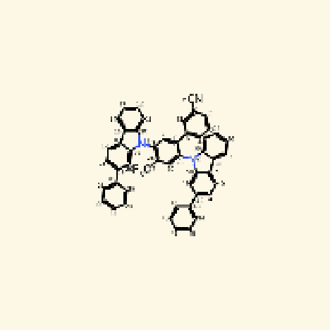 N#Cc1cccc(-c2cc(-n3c4ccccc4c4ccc(-c5ccccc5)cc43)c(C(F)(F)F)cc2-n2c3ccccc3c3ccc(-c4ccccc4)cc32)c1